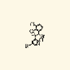 O=C(c1cc(Br)cnc1Cl)C(Br)c1cccc(Cl)c1Cl